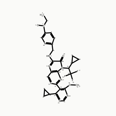 CC[S+]([O-])c1ccc(CNc2nc3cnc(-c4c(OC)ncnc4C4CC4)nc3n(C(C3CC3)C(F)(F)F)c2=O)nc1